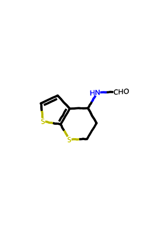 O=CNC1CCSc2sccc21